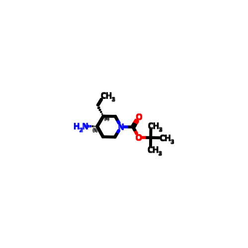 CC[C@@H]1CN(C(=O)OC(C)(C)C)CC[C@@H]1N